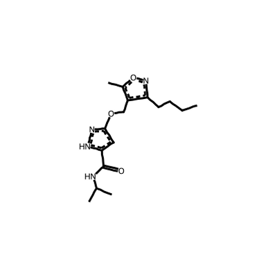 CCCCc1noc(C)c1COc1cc(C(=O)NC(C)C)[nH]n1